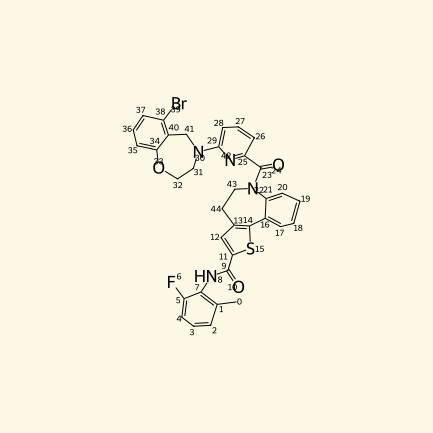 Cc1cccc(F)c1NC(=O)c1cc2c(s1)-c1ccccc1N(C(=O)c1cccc(N3CCOc4cccc(Br)c4C3)n1)CC2